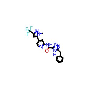 Cn1nc(C(F)(F)F)cc1-c1ccnc(NC(=O)c2nnc(Cc3ccccc3)[nH]2)c1